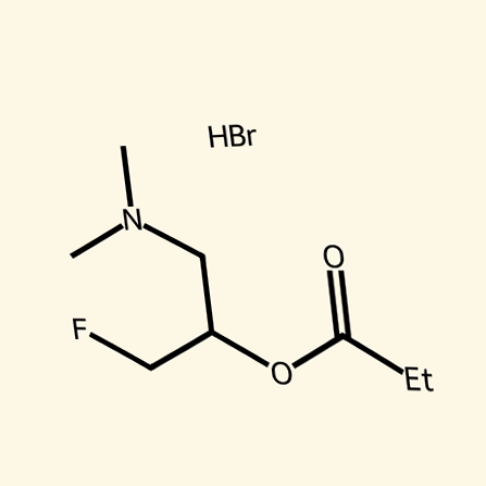 Br.CCC(=O)OC(CF)CN(C)C